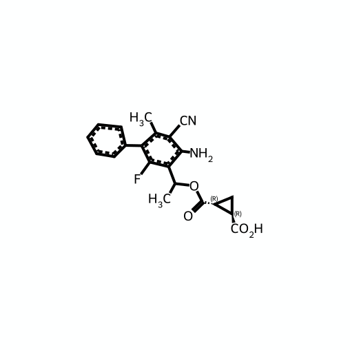 Cc1c(C#N)c(N)c(C(C)OC(=O)[C@@H]2C[C@H]2C(=O)O)c(F)c1-c1ccccc1